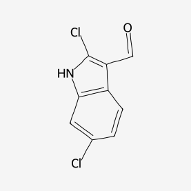 O=Cc1c(Cl)[nH]c2cc(Cl)ccc12